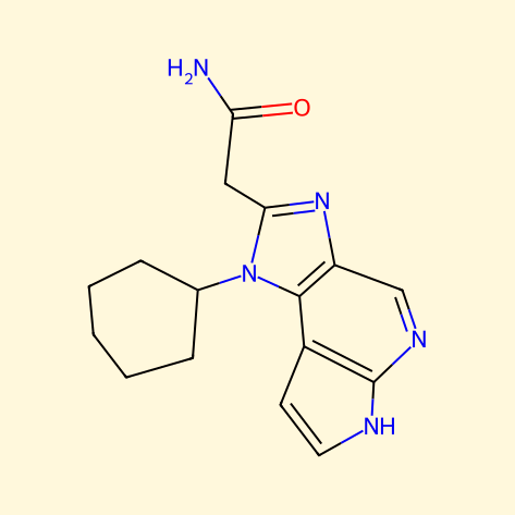 NC(=O)Cc1nc2cnc3[nH]ccc3c2n1C1CCCCC1